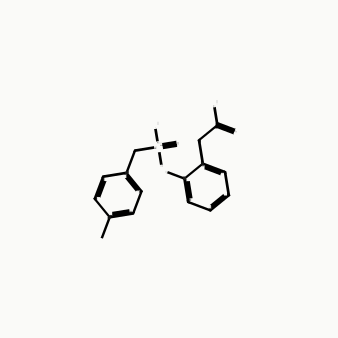 Cc1ccc(CP(=O)(O)Oc2ccccc2CC(=O)O)cc1